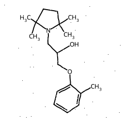 Cc1ccccc1OCC(O)CN1C(C)(C)CCC1(C)C